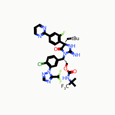 CC(C)(C)C[C@]1(c2ccc(-c3ncccn3)cc2F)NC(=N)N([C@H](COC(=O)NC(C)(C)C(F)(F)F)c2ccc(Cl)c(-n3ncnc3C(F)F)c2)C1=O